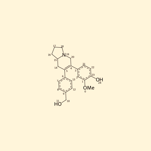 COc1cc(C2=C(c3ccc(CO)cc3)CC3CCCN3C2)ccc1O